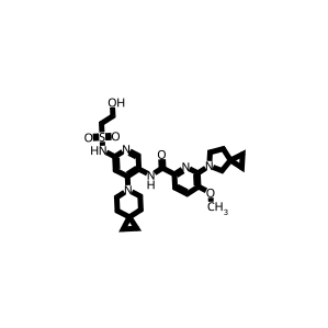 COc1ccc(C(=O)Nc2cnc(NS(=O)(=O)CCO)cc2N2CCC3(CC2)CC3)nc1N1CCC2(CC2)C1